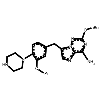 CCCCOc1nc(N)c2ncc(Cc3ccc(N4CCNCC4)c(OC(C)C)c3)n2n1